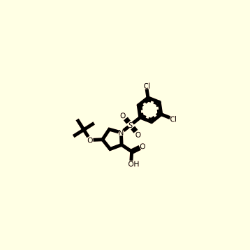 CC(C)(C)OC1CC(C(=O)O)N(S(=O)(=O)c2cc(Cl)cc(Cl)c2)C1